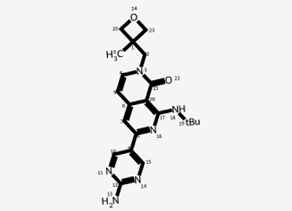 CC1(Cn2ccc3cc(-c4cnc(N)nc4)nc(NC(C)(C)C)c3c2=O)COC1